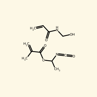 C=C(C)C(=O)OC(C)N=C=O.C=CC(=O)NCO